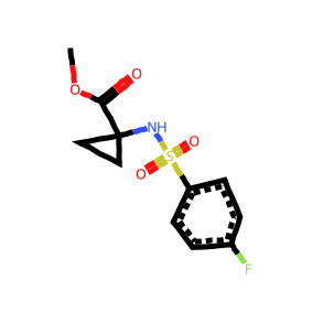 COC(=O)C1(NS(=O)(=O)c2ccc(F)cc2)CC1